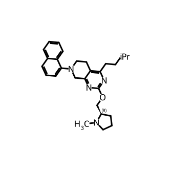 CC(C)CCc1nc(OC[C@H]2CCCN2C)nc2c1CCN(c1cccc3ccccc13)C2